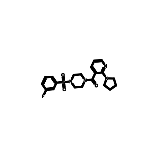 O=C(c1cccnc1N1CCCC1)N1CCN(S(=O)(=O)c2cccc(F)c2)CC1